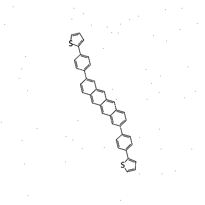 c1csc(-c2ccc(-c3ccc4cc5cc6cc(-c7ccc(-c8cccs8)cc7)ccc6cc5cc4c3)cc2)c1